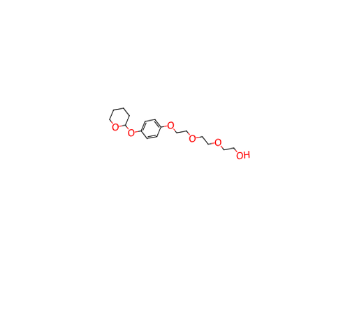 OCCOCCOCCOc1ccc(OC2CCCCO2)cc1